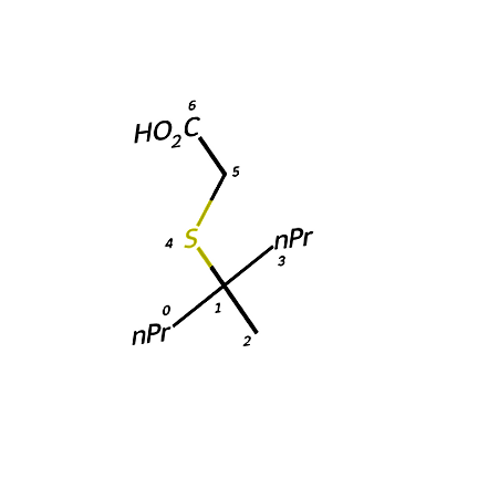 CCCC(C)(CCC)SCC(=O)O